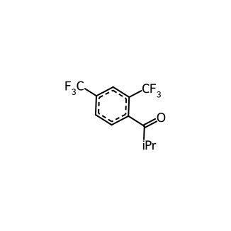 CC(C)C(=O)c1ccc(C(F)(F)F)cc1C(F)(F)F